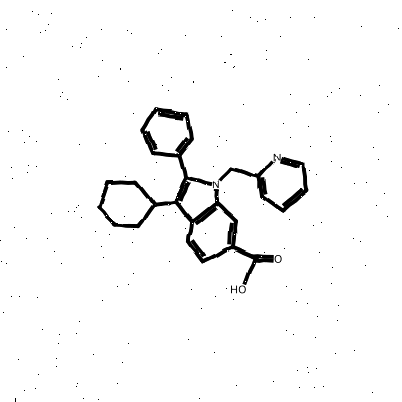 O=C(O)c1ccc2c(C3CCCCC3)c(-c3ccccc3)n(Cc3ccccn3)c2c1